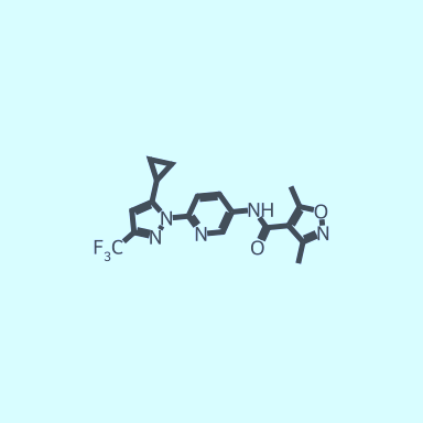 Cc1noc(C)c1C(=O)Nc1ccc(-n2nc(C(F)(F)F)cc2C2CC2)nc1